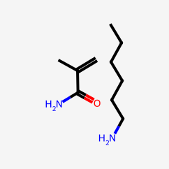 C=C(C)C(N)=O.CCCCCCN